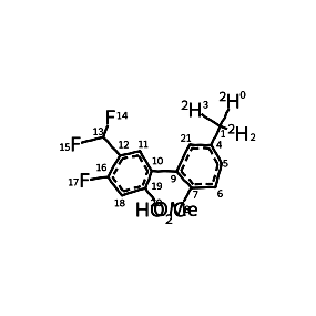 [2H]C([2H])([2H])c1ccc(C(=O)O)c(-c2cc(C(F)F)c(F)cc2OC)c1